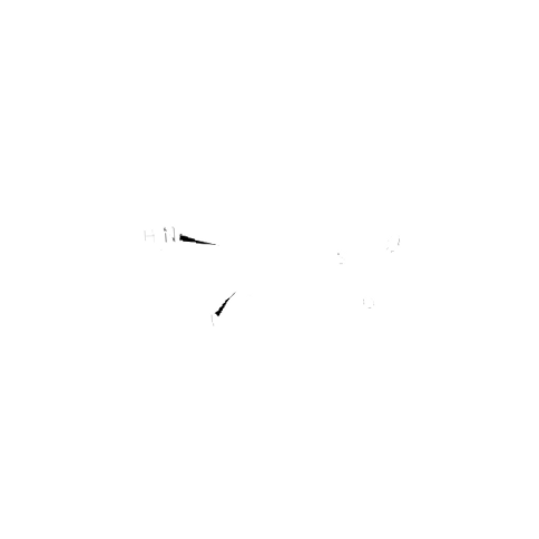 N[C@H]1CCS(=O)(=O)C[C@H]1I